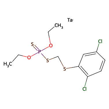 CCOP(=S)(OCC)SCSc1cc(Cl)ccc1Cl.[Ta]